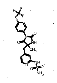 CC1(Cc2ccnc(NS(N)(=O)=O)c2)NC(=O)N(c2ccc(SC(F)(F)F)cc2)C1=O